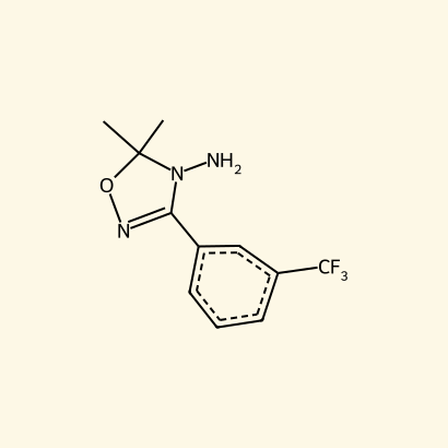 CC1(C)ON=C(c2cccc(C(F)(F)F)c2)N1N